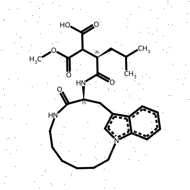 COC(=O)C(C(=O)O)[C@@H](CC(C)C)C(=O)N[C@H]1Cc2cn(c3ccccc23)CCCCCCNC1=O